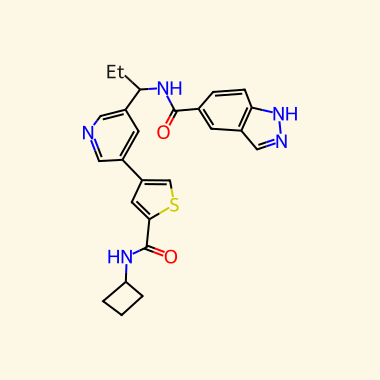 CCC(NC(=O)c1ccc2[nH]ncc2c1)c1cncc(-c2csc(C(=O)NC3CCC3)c2)c1